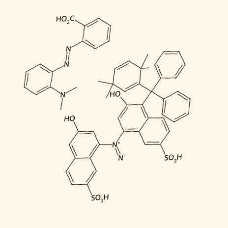 CC1(C)C=CC(C)(C)C(C(c2ccccc2)(c2ccccc2)c2c(O)cc([N+](=[N-])c3cc(O)cc4ccc(S(=O)(=O)O)cc34)c3cc(S(=O)(=O)O)ccc23)=C1.CN(C)c1ccccc1N=Nc1ccccc1C(=O)O